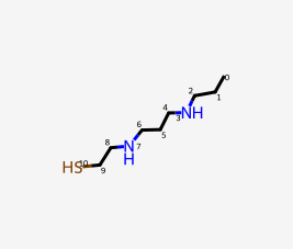 CCCNCCCNCCS